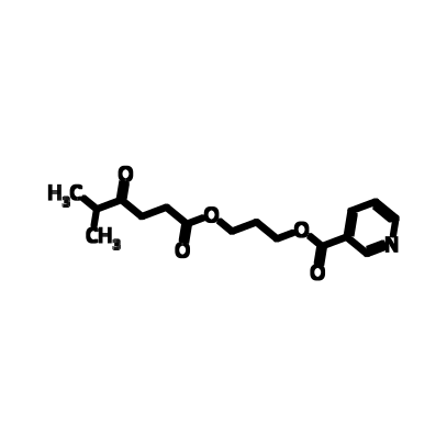 CC(C)C(=O)CCC(=O)OCCCOC(=O)c1cccnc1